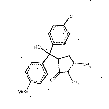 CSc1ccc(C(O)(c2ccc(Cl)cc2)C2CC(C)N(C)C2=O)cc1